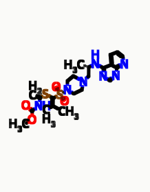 C=C(NC(=O)OC)SC(=C(C)C)S(=O)(=O)N1CCN(C[C@H](C)Nc2ncnc3ncccc23)CC1